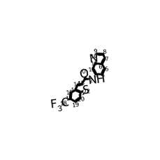 O=C(Nc1ccc2cccnc2c1)c1cc2cc(C(F)(F)F)ccc2s1